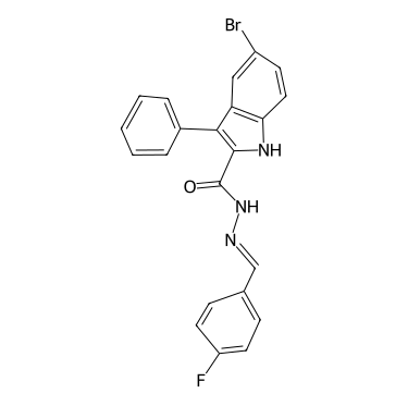 O=C(NN=Cc1ccc(F)cc1)c1[nH]c2ccc(Br)cc2c1-c1ccccc1